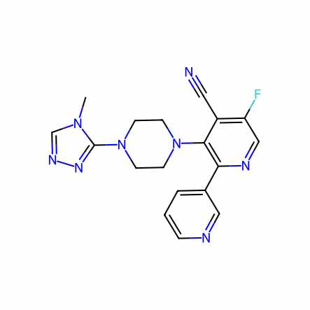 Cn1cnnc1N1CCN(c2c(-c3cccnc3)ncc(F)c2C#N)CC1